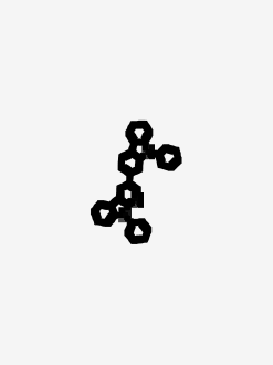 c1ccc(-n2c3ccccc3c3ccc(-c4cnc5c(c4)c4ccccc4n5-c4ccccc4)cc32)cc1